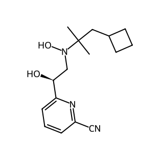 CC(C)(CC1CCC1)N(O)C[C@H](O)c1cccc(C#N)n1